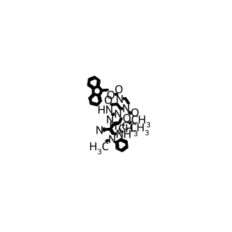 CCN1/C(=C(\C#N)c2nc(NC(=O)C3CN(C(=O)OC(C)(C)C)CCN3C(=O)OCC3c4ccccc4-c4ccccc43)ncc2C)Nc2ccccc21